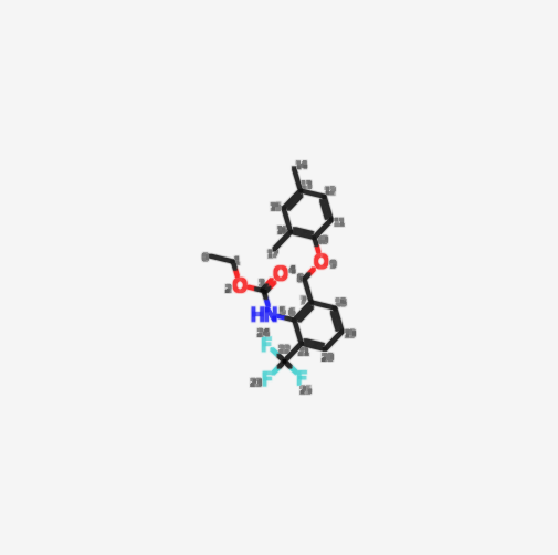 CCOC(=O)Nc1c(COc2ccc(C)cc2C)cccc1C(F)(F)F